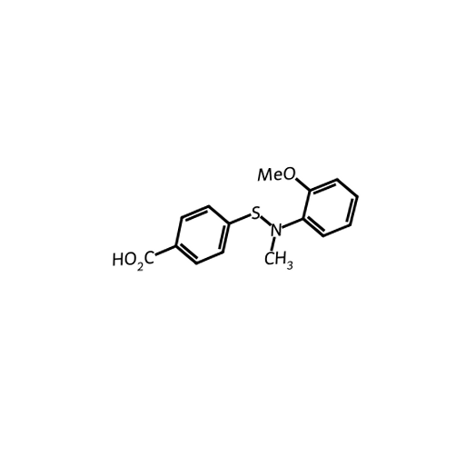 COc1ccccc1N(C)Sc1ccc(C(=O)O)cc1